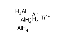 [AlH4-].[AlH4-].[AlH4-].[AlH4-].[Ti+4]